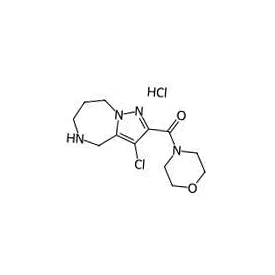 Cl.O=C(c1nn2c(c1Cl)CNCCC2)N1CCOCC1